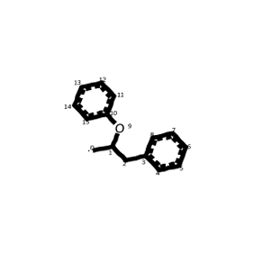 [CH2]C(Cc1ccccc1)Oc1ccccc1